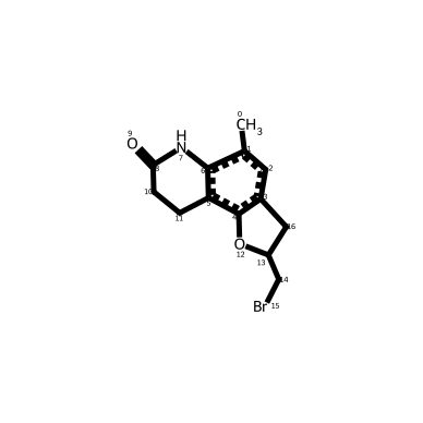 Cc1cc2c(c3c1NC(=O)CC3)OC(CBr)C2